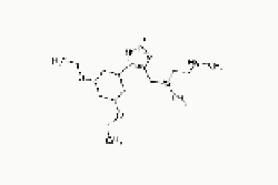 CCOC1CC(OCC)CC(c2n[nH]cc2CN(C)CCNC)C1